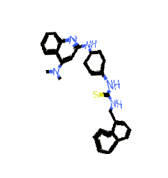 CN(C)c1cc(NC2CCC(NC(=S)NCc3cccc4ccccc34)CC2)nc2ccccc12